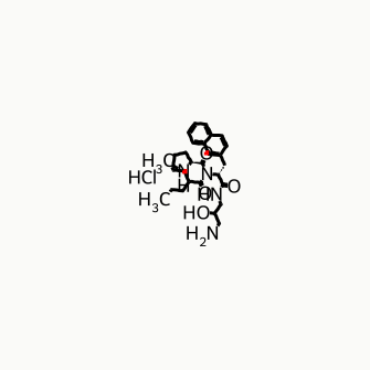 CCCC(CCC)C(=O)N(C(=O)[C@@H]1CCCN1)[C@H](Cc1ccc2ccccc2c1)C(=O)NCC(O)CN.Cl